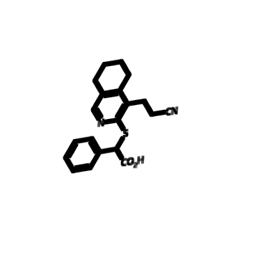 N#CCCc1c(SC(C(=O)O)c2ccccc2)ncc2c1CCCC2